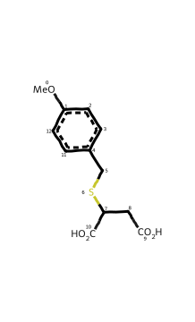 COc1ccc(CSC(CC(=O)O)C(=O)O)cc1